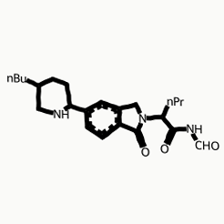 CCCCC1CCC(c2ccc3c(c2)CN(C(CCC)C(=O)NC=O)C3=O)NC1